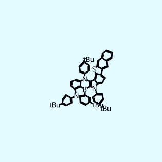 CC(C)(C)c1ccc(N2c3ccc(C(C)(C)C)cc3B3c4c2cccc4N(c2ccc(C(C)(C)C)cc2)c2c3n(-c3ccc(C(C)(C)C)cc3)c3ccc4c5cc6ccccc6cc5sc4c23)cc1